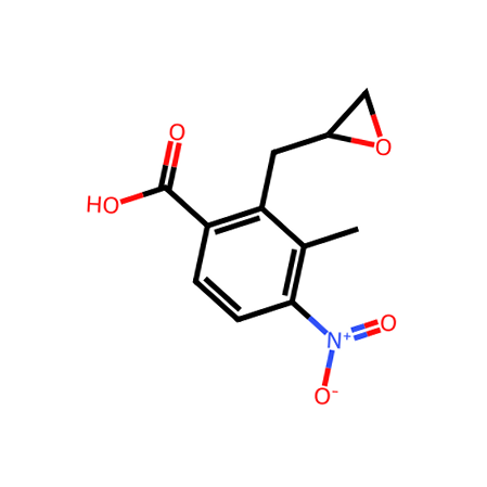 Cc1c([N+](=O)[O-])ccc(C(=O)O)c1CC1CO1